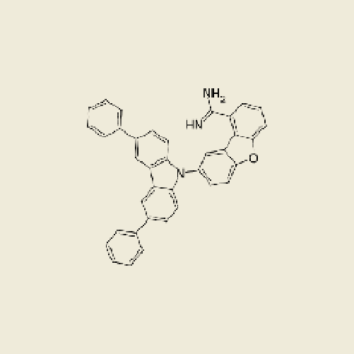 N=C(N)c1cccc2oc3ccc(-n4c5ccc(-c6ccccc6)cc5c5cc(-c6ccccc6)ccc54)cc3c12